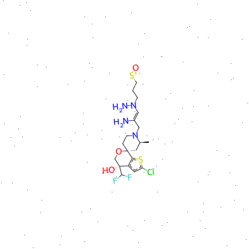 C[C@H]1C[C@@]2(CCN1C/C(N)=C/N(N)CCC[S+]=O)OC[C@](O)(C(F)F)c1cc(Cl)sc12